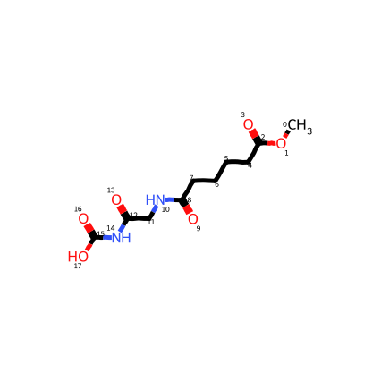 COC(=O)CCCCC(=O)NCC(=O)NC(=O)O